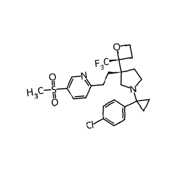 CS(=O)(=O)c1ccc(CC[C@@]2([C@@]3(C(F)(F)F)CCO3)CCN(C3(c4ccc(Cl)cc4)CC3)C2)nc1